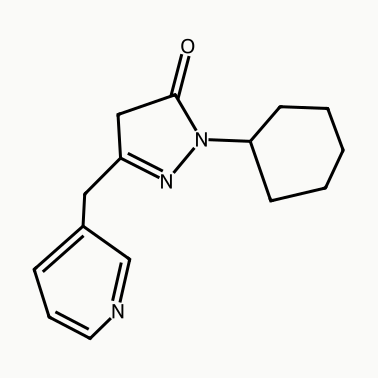 O=C1CC(Cc2cccnc2)=NN1C1CCCCC1